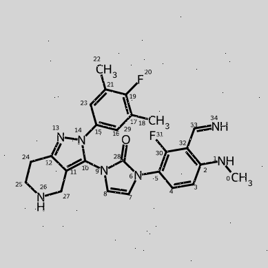 CNc1ccc(-n2ccn(-c3c4c(nn3-c3cc(C)c(F)c(C)c3)CCNC4)c2=O)c(F)c1C=N